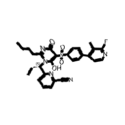 CCCCc1nc(=O)c(S(=O)(=O)c2ccc(-c3ccnc(F)c3C)cc2)c(O)n1[C@@H](CC)c1cccc(C#N)n1